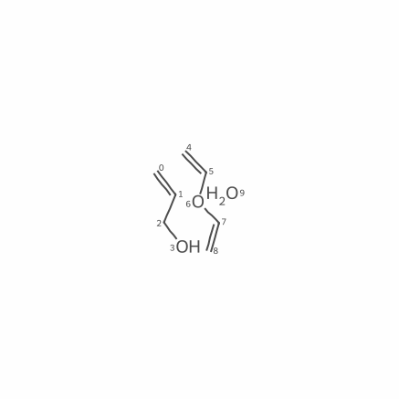 C=CCO.C=COC=C.O